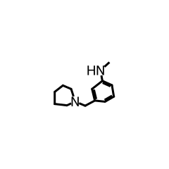 CNc1cccc(CN2CCCCC2)c1